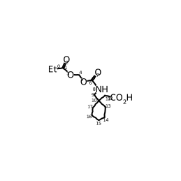 CCC(=O)OCOC(=O)NCC1(CC(=O)O)CCCCC1